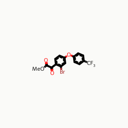 COC(=O)C(=O)c1ccc(Oc2ccc(C(F)(F)F)cc2)cc1Br